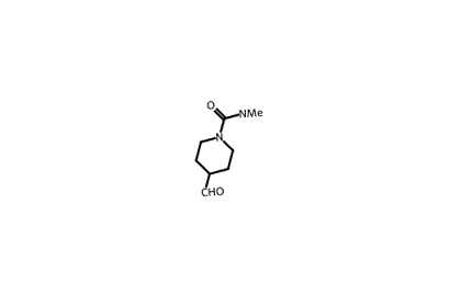 CNC(=O)N1CCC(C=O)CC1